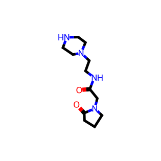 O=C(CN1CCCC1=O)NCCN1CCNCC1